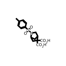 Cc1ccc(S(=O)(=O)N2CC3CC2CC3(C(=O)O)C(=O)O)cc1